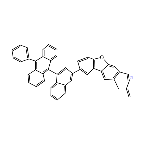 C=C/C=C\c1cc2oc3ccc(-c4cc(-c5c6ccccc6c(-c6ccccc6)c6ccccc56)c5ccccc5c4)cc3c2cc1C